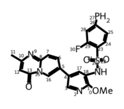 COc1ncc(-c2ccc3nc(C)cc(=O)n3c2)cc1NS(=O)(=O)c1ccc(P)cc1F